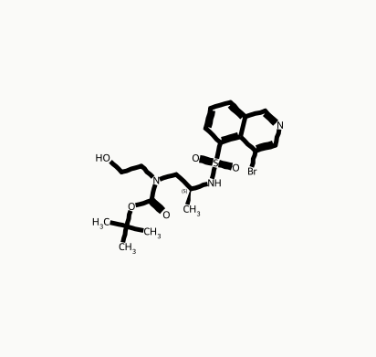 C[C@@H](CN(CCO)C(=O)OC(C)(C)C)NS(=O)(=O)c1cccc2cncc(Br)c12